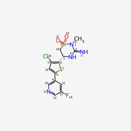 CN1C(=N)N[C@H](c2sc(-c3cncc(F)c3)cc2Cl)CS1(=O)=O